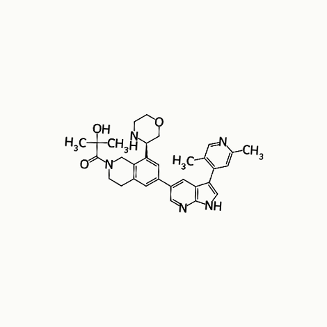 Cc1cc(-c2c[nH]c3ncc(-c4cc5c(c([C@@H]6COCCN6)c4)CN(C(=O)C(C)(C)O)CC5)cc23)c(C)cn1